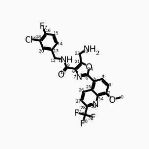 COc1ccc(-c2nc(C(=O)NCc3ccc(F)c(Cl)c3)c(CN)o2)c2ccc(C(F)(F)F)nc12